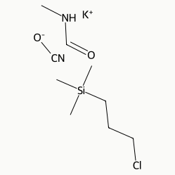 CNC=O.C[Si](C)(C)CCCCl.N#C[O-].[K+]